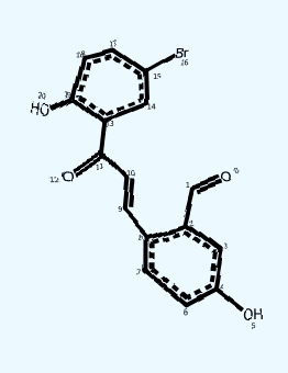 O=Cc1cc(O)ccc1C=CC(=O)c1cc(Br)ccc1O